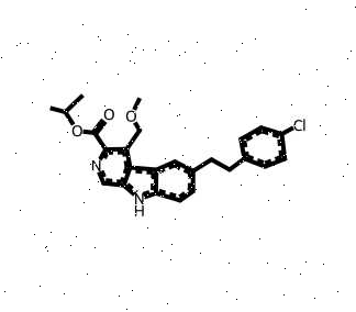 COCc1c(C(=O)OC(C)C)ncc2[nH]c3ccc(CCc4ccc(Cl)cc4)cc3c12